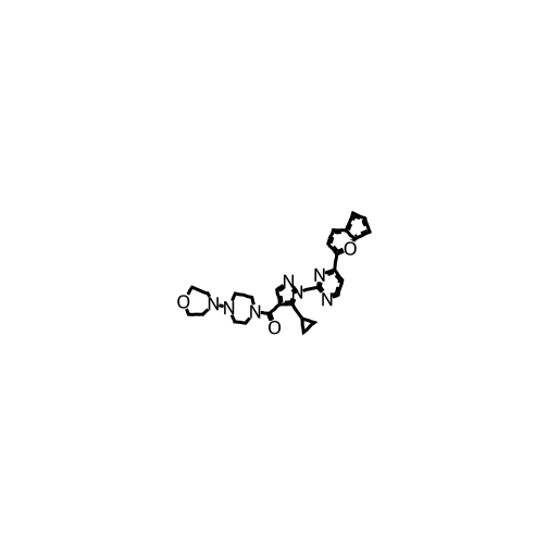 O=C(c1cnn(-c2nccc(-c3ccc4cccc-4o3)n2)c1C1CC1)N1CCN(N2CCOCC2)CC1